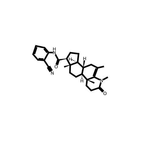 CC1=C2N(C)C(=O)CC[C@]2(C)[C@H]2CC[C@]3(C)[C@@H](C(=O)Nc4ccccc4C#N)CC[C@H]3[C@@H]2C1